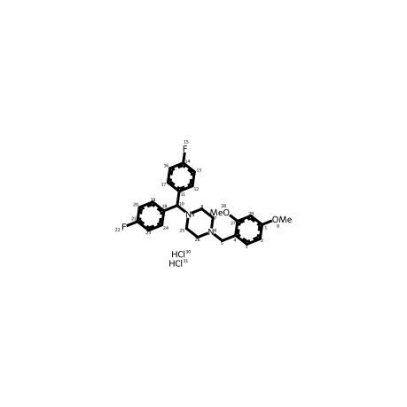 COc1ccc(CN2CCN(C(c3ccc(F)cc3)c3ccc(F)cc3)CC2)c(OC)c1.Cl.Cl